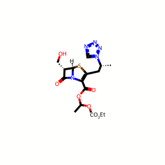 CCOC(=O)OC(C)OC(=O)C1=C(C[C@@H](C)n2cnnn2)S[C@@H]2[C@@H](CO)C(=O)N12